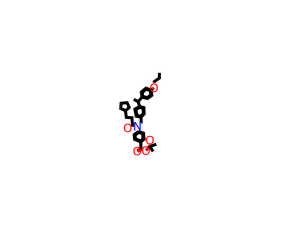 CCCOc1ccc(C(C)c2ccc(CN(C(=O)CCC3CCCC3)c3ccc4c(c3)OC(C)(C)OC4=O)cc2)cc1